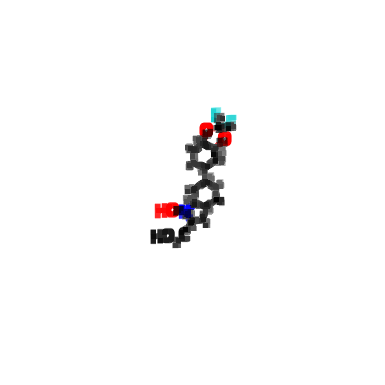 O=C(O)c1cc2ccc(-c3ccc4c(c3)OC(F)(F)O4)cc2n1O